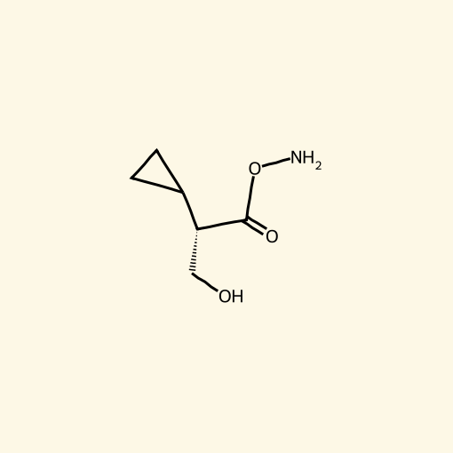 NOC(=O)[C@H](CO)C1CC1